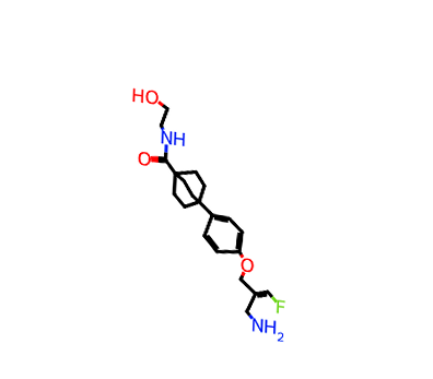 NCC(=CF)COc1ccc(C23CCC(C(=O)NCCO)(CC2)CC3)cc1